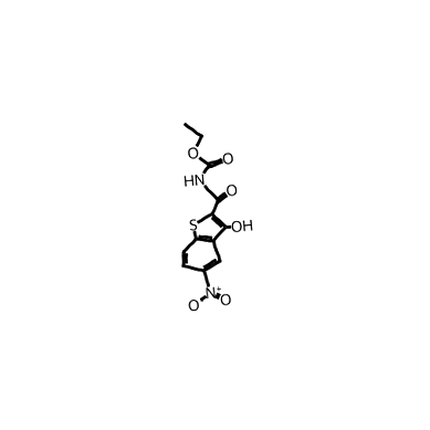 CCOC(=O)NC(=O)c1sc2ccc([N+](=O)[O-])cc2c1O